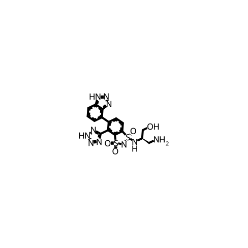 NC[C@H](CO)NS1(=O)=NS(=O)(=O)c2c1ccc(-c1cccc3[nH]nnc13)c2-c1nn[nH]n1